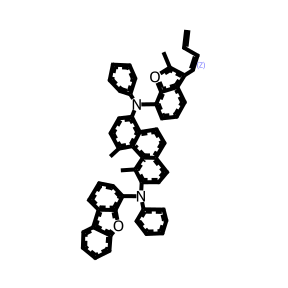 C=C/C=C\c1c(C)oc2c(N(c3ccccc3)c3ccc(C)c4c3ccc3ccc(N(c5ccccc5)c5cccc6c5oc5ccccc56)c(C)c34)cccc12